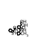 Cc1ccccc1C1NC(=O)c2c(C(O)CO)ccc(NC(=O)c3csc4ccccc34)c21